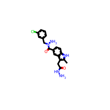 Cc1[nH]c2ccc(C(=O)N(N)Cc3cccc(Cl)c3)cc2c1CC(=O)NN